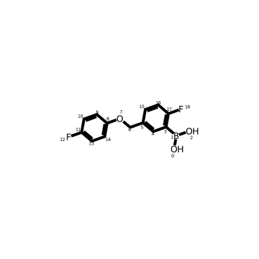 OB(O)c1cc(COc2ccc(F)cc2)ccc1F